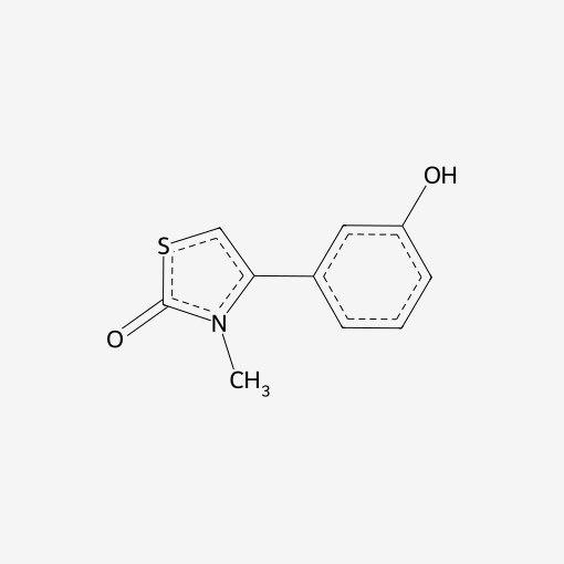 Cn1c(-c2cccc(O)c2)csc1=O